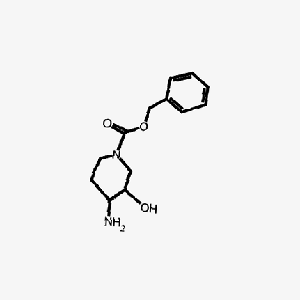 NC1CCN(C(=O)OCc2ccccc2)CC1O